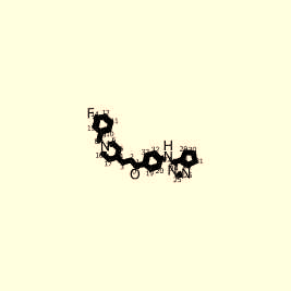 O=C(CCC1CCN(Cc2cccc(F)c2)CC1)c1ccc(Nc2ncnc3c2CCC3)cc1